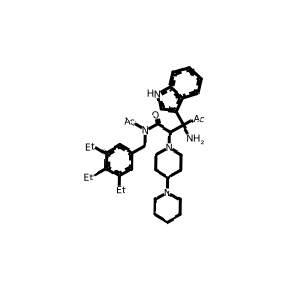 CCc1cc(CN(C(C)=O)C(=O)C(N2CCC(N3CCCCC3)CC2)C(N)(C(C)=O)c2c[nH]c3ccccc23)cc(CC)c1CC